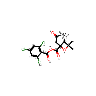 CCC1C(C)(C)OC1(CC(=O)OC)C(=O)OC(=O)c1c(Cl)cc(Cl)cc1Cl